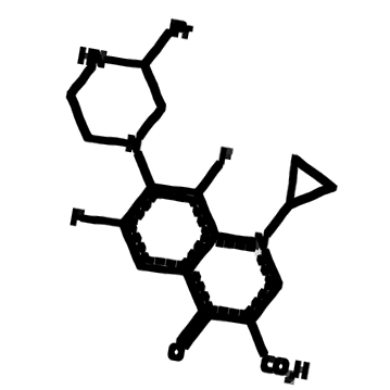 CC(C)C1CN(c2c(F)cc3c(=O)c(C(=O)O)cn(C4CC4)c3c2F)CCN1